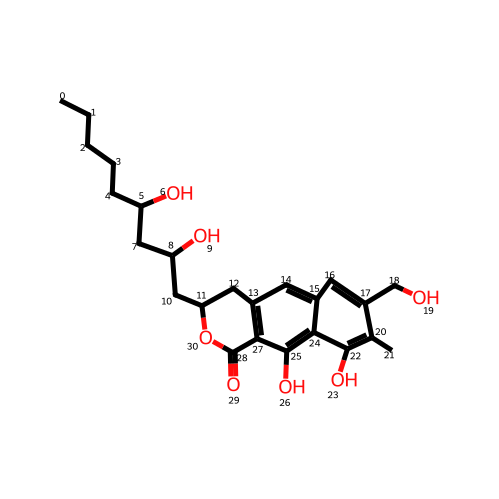 CCCCCC(O)CC(O)CC1Cc2cc3cc(CO)c(C)c(O)c3c(O)c2C(=O)O1